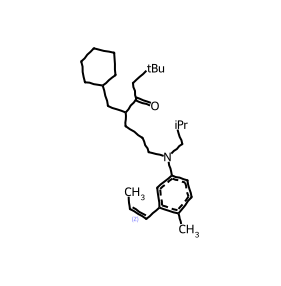 C/C=C\c1cc(N(CCCC(CC2CCCCC2)C(=O)CC(C)(C)C)CC(C)C)ccc1C